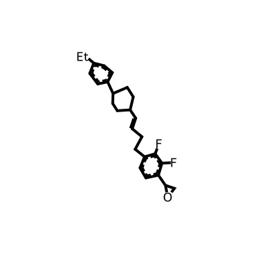 CCc1ccc(C2CCC(/C=C/CCc3ccc(C4CO4)c(F)c3F)CC2)cc1